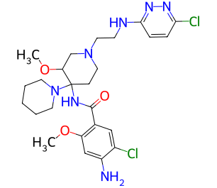 COc1cc(N)c(Cl)cc1C(=O)NC1(N2CCCCC2)CCN(CCNc2ccc(Cl)nn2)CC1OC